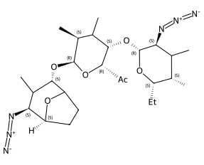 CC[C@@H]1O[C@H](O[C@H]2C(C)[C@H](C)[C@H](O[C@@H]3C4CC[C@H](O4)[C@@H](N=[N+]=[N-])C3C)O[C@H]2C(C)=O)[C@@H](N=[N+]=[N-])C(C)[C@@H]1C